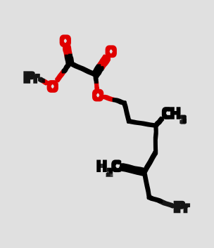 C=C(CC(C)C)CC(C)CCOC(=O)C(=O)OC(C)C